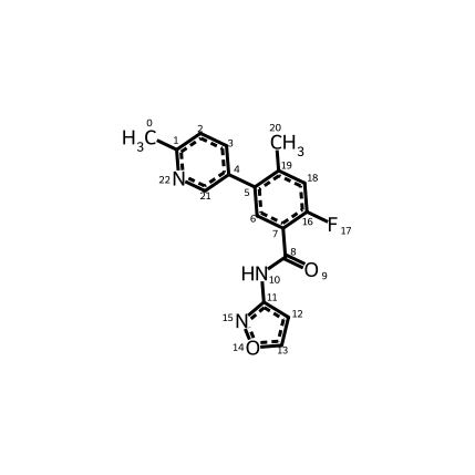 Cc1ccc(-c2cc(C(=O)Nc3ccon3)c(F)cc2C)cn1